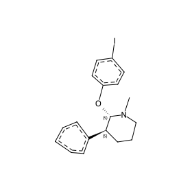 CN1CCC[C@@H](c2ccccc2)[C@@H]1Oc1ccc(I)cc1